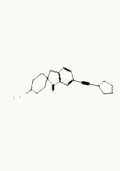 COC1CCC2(CC1)Cc1ccc(C#CC3CCCC3)cc1C2=O